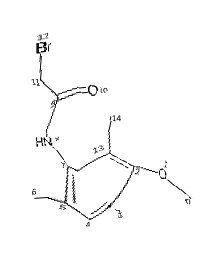 COc1ccc(C)c(NC(=O)CBr)c1C